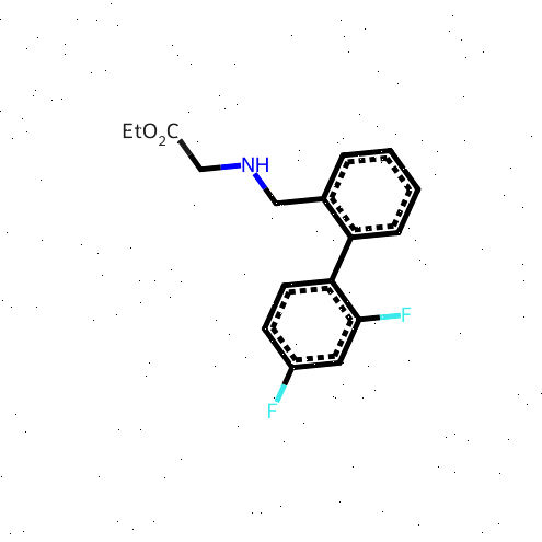 CCOC(=O)CNCc1ccccc1-c1ccc(F)cc1F